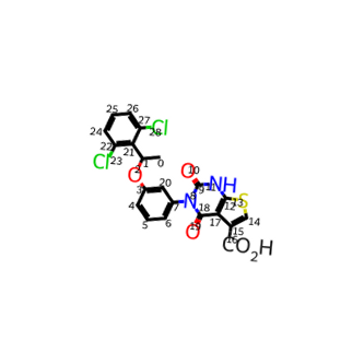 CC(Oc1cccc(-n2c(=O)[nH]c3scc(C(=O)O)c3c2=O)c1)c1c(Cl)cccc1Cl